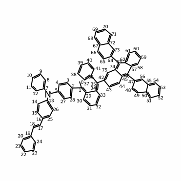 C/C(c1ccc(N(c2ccccc2)c2ccc(/C=C/c3ccccc3)cc2)cc1)=c1/cccc/c1=C(/c1ccccc1)c1ccc2c(-c3ccc4ccccc4c3)c3ccccc3c(-c3ccc4ccccc4c3)c2c1